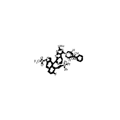 CSc1nc(N2C[C@@H]3C[C@H](O)[C@H](C2)N3C(C)(C)c2ccccc2)c2c(n1)sc1c(-c3c4cnn(S(=O)(=O)C(F)(F)F)c4cc4ccc(F)c(C#C[Si](C(C)C)(C(C)C)C(C)C)c34)nccc12